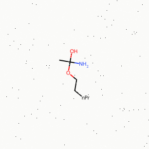 CCCCCOC(C)(N)O